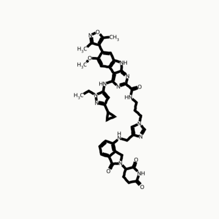 CCn1nc(C2CC2)cc1Nc1nc(C(=O)NCCCn2cnc(CNc3cccc4c3CN(C3CCC(=O)NC3=O)C4=O)c2)nc2[nH]c3cc(-c4c(C)noc4C)c(OC)cc3c12